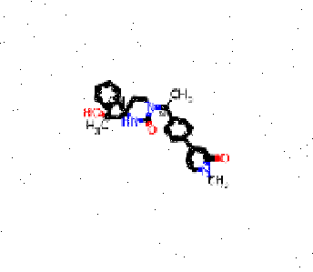 C[C@@H](c1ccc(-c2ccn(C)c(=O)c2)cc1)N1CCC(CC(C)(C)O)(c2ccccc2)NC1=O